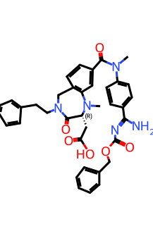 CN(C(=O)c1ccc2c(c1)N(C)[C@H](CC(=O)O)C(=O)N(CCc1ccccc1)C2)c1ccc(C(N)=NC(=O)OCc2ccccc2)cc1